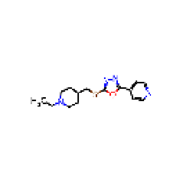 CCN1CCC(CSc2nnc(-c3ccncc3)o2)CC1